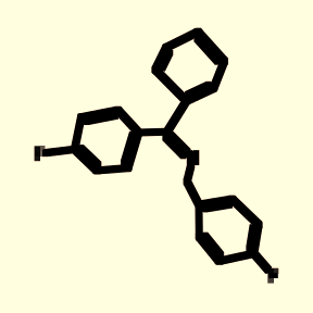 Fc1ccc(CN=C(c2ccccc2)c2ccc(F)cc2)cc1